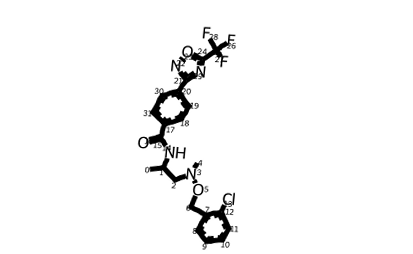 CC(CN(C)OCc1ccccc1Cl)NC(=O)c1ccc(-c2noc(C(F)(F)F)n2)cc1